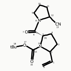 C=CC1CC[C@@H](C(=O)N2CCCC2C#N)N1C(=O)OC(C)(C)C